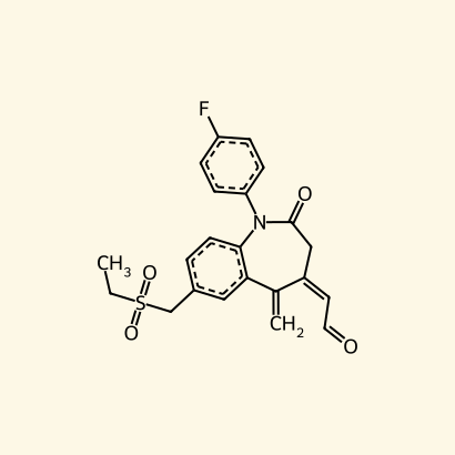 C=C1/C(=C\C=O)CC(=O)N(c2ccc(F)cc2)c2ccc(CS(=O)(=O)CC)cc21